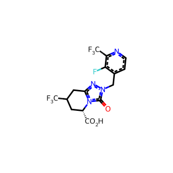 O=C(O)[C@@H]1CC(C(F)(F)F)Cc2nn(Cc3ccnc(C(F)(F)F)c3F)c(=O)n21